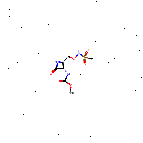 CC(C)(C)OC(=O)N[C@@H]1C(=O)N[C@@H]1CONS(C)(=O)=O